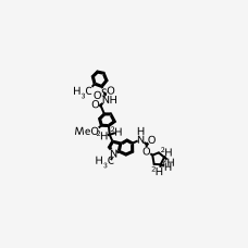 [2H]C([2H])(c1ccc(C(=O)NS(=O)(=O)c2ccccc2C)cc1OC)c1cn(C)c2ccc(NC(=O)OC3CC([2H])([2H])C([2H])([2H])C3)cc12